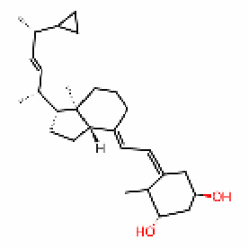 CC1/C(=C\C=C2/CCC[C@]3(C)[C@@H]([C@H](C)/C=C/[C@H](C)C4CC4)CC[C@@H]23)C[C@@H](O)C[C@@H]1O